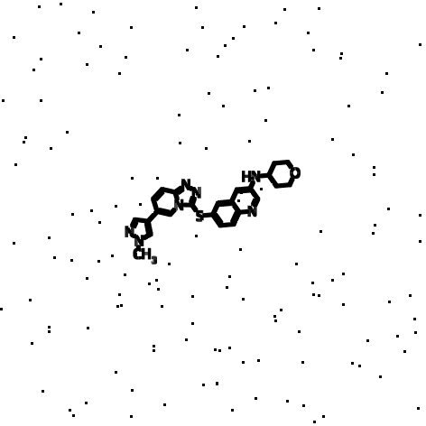 Cn1cc(-c2ccc3nnc(Sc4ccc5ncc(NC6CCOCC6)cc5c4)n3c2)cn1